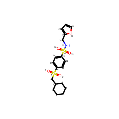 O=S(=O)(CC1CCCCC1)c1ccc(S(=O)(=O)NCc2ccco2)cc1